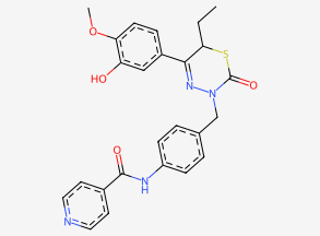 CCC1SC(=O)N(Cc2ccc(NC(=O)c3ccncc3)cc2)N=C1c1ccc(OC)c(O)c1